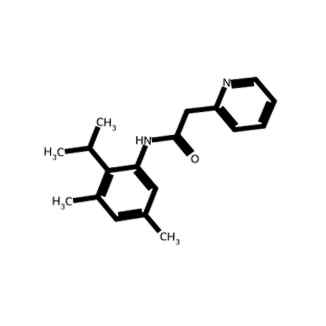 Cc1cc(C)c(C(C)C)c(NC(=O)Cc2ccccn2)c1